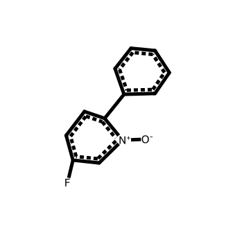 [O-][n+]1cc(F)ccc1-c1ccccc1